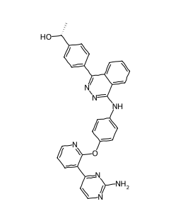 C[C@@H](O)c1ccc(-c2nnc(Nc3ccc(Oc4ncccc4-c4ccnc(N)n4)cc3)c3ccccc23)cc1